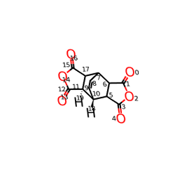 O=C1OC(=O)C2C1C1C=C[C@H]2[C@H]2C(=O)OC(=O)C12